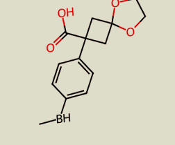 CBc1ccc(C2(C(=O)O)CC3(C2)OCCO3)cc1